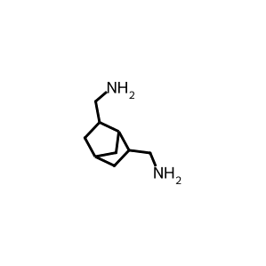 NCC1CC2CC(CN)C1C2